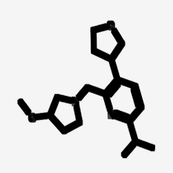 COC1CCN(Cc2nc(C(C)C)ccc2C2CCOC2)C1